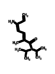 C=C/C(N)=C\C=C(/C)C(=O)N(C(C)C)C(C)C